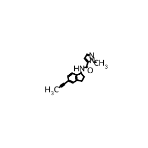 CC#Cc1ccc2c(c1)CCC2NC(=O)c1ccnn1C